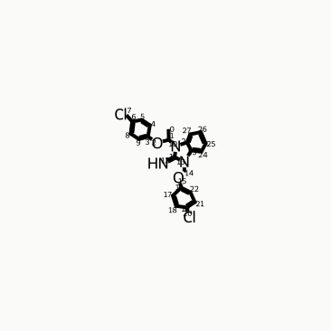 CC(Oc1ccc(Cl)cc1)n1c(=N)n(COc2ccc(Cl)cc2)c2ccccc21